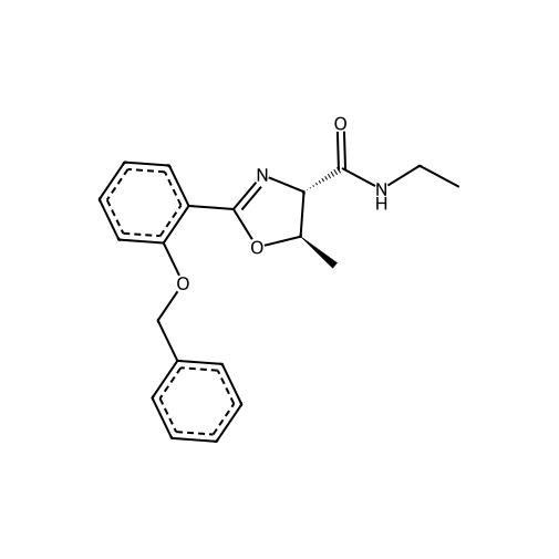 CCNC(=O)[C@H]1N=C(c2ccccc2OCc2ccccc2)O[C@@H]1C